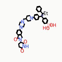 CC/C(=C(\c1ccc(B(O)O)cc1)c1ccc(N2CCC(CN3CCN(c4ccc5c(c4)CN(C4CCC(=O)NC4=O)C5=O)CC3)CC2)cc1)c1ccccc1